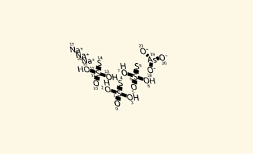 O=S(O)(O)=S.O=S(O)(O)=S.O=S(O)(O)=S.[Na+].[Na+].[Na+].[O-][As]([O-])[O-]